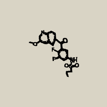 CCCS(=O)(=O)Nc1cc(F)c(F)c(C(=O)c2ccc3ncc(OC)cc3c2)c1